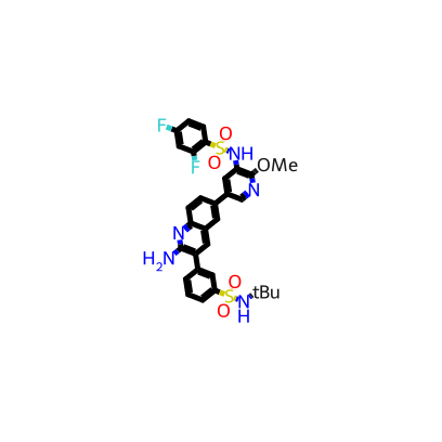 COc1ncc(-c2ccc3nc(N)c(-c4cccc(S(=O)(=O)NC(C)(C)C)c4)cc3c2)cc1NS(=O)(=O)c1ccc(F)cc1F